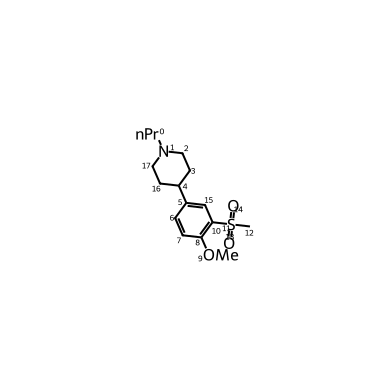 CCCN1CCC(c2ccc(OC)c(S(C)(=O)=O)c2)CC1